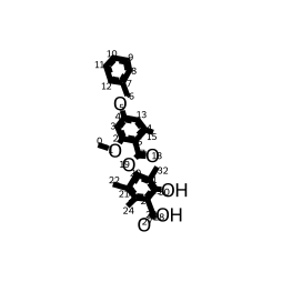 COc1cc(OCc2ccccc2)cc(C)c1C(=O)Oc1c(C)c(C)c(C(=O)O)c(O)c1C